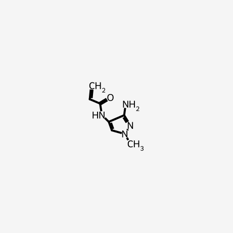 C=CC(=O)Nc1cn(C)nc1N